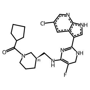 O=C(C1CCCC1)N1CCC[C@H](CNC2=C(F)CNC(c3c[nH]c4ncc(Cl)cc34)=N2)C1